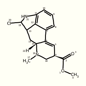 COC(=O)[C@@H]1C=C2c3cccc4c3C(C[C@H]2N(C)C1)C(Cl)N4